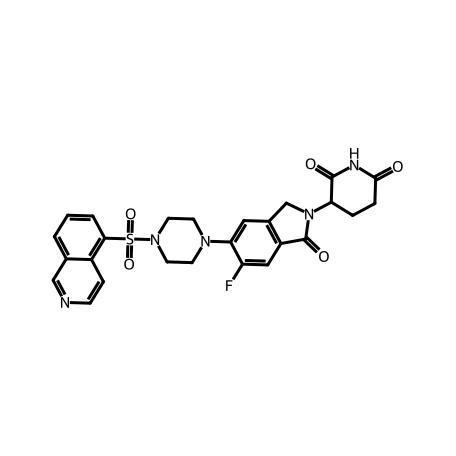 O=C1CCC(N2Cc3cc(N4CCN(S(=O)(=O)c5cccc6cnccc56)CC4)c(F)cc3C2=O)C(=O)N1